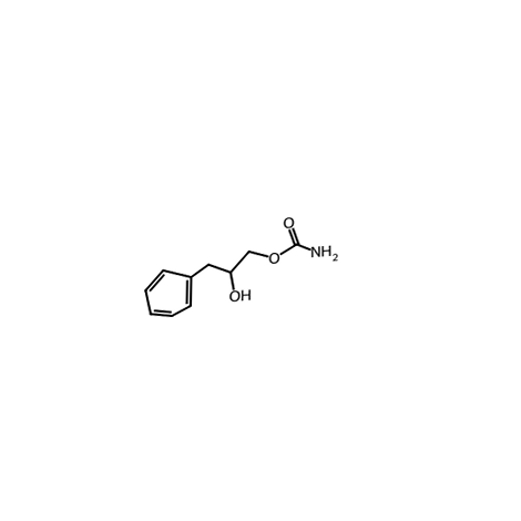 NC(=O)OCC(O)Cc1ccccc1